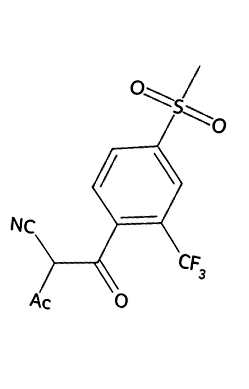 CC(=O)C(C#N)C(=O)c1ccc(S(C)(=O)=O)cc1C(F)(F)F